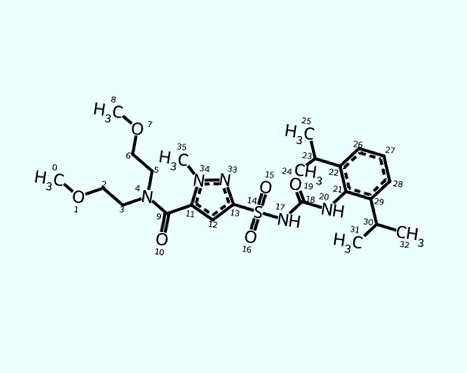 COCCN(CCOC)C(=O)c1cc(S(=O)(=O)NC(=O)Nc2c(C(C)C)cccc2C(C)C)nn1C